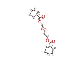 O=C(OC=COC=COC(=O)c1ccccc1)c1ccccc1